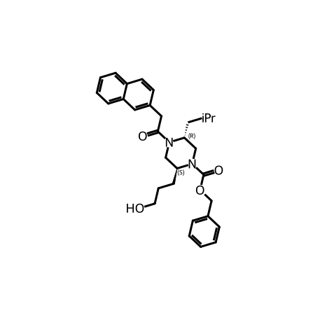 CC(C)C[C@@H]1CN(C(=O)OCc2ccccc2)[C@@H](CCCO)CN1C(=O)Cc1ccc2ccccc2c1